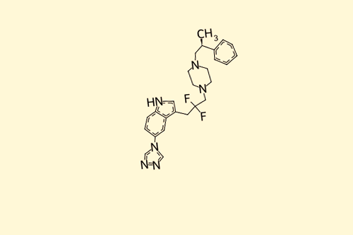 C[C@H](CN1CCN(CC(F)(F)Cc2c[nH]c3ccc(-n4cnnc4)cc23)CC1)c1ccccc1